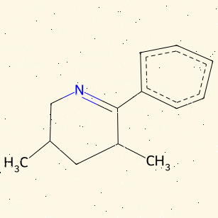 CC1CN=C(c2ccccc2)C(C)C1